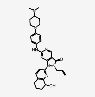 C=CCn1c(=O)c2cnc(Nc3ccc(N4CCC(N(C)C)CC4)cc3)nc2n1-c1ccc2c(n1)C(O)CCC2